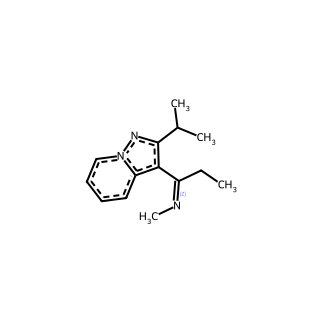 CC/C(=N/C)c1c(C(C)C)nn2ccccc12